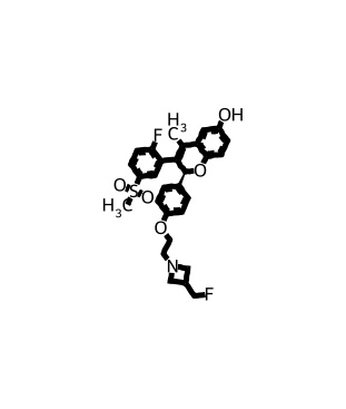 CC1=C(c2cc(S(C)(=O)=O)ccc2F)[C@H](c2ccc(OCCN3CC(CF)C3)cc2)Oc2ccc(O)cc21